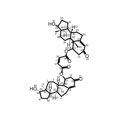 C[C@]12CC[C@H]3[C@@H](CCC4=CC(=O)CC(OC(=O)/C=C\C(=O)OC5CC(=O)C=C6CC[C@H]7[C@@H]8CC[C@H](O)[C@@]8(C)CC[C@@H]7[C@]65C)[C@@]43C)[C@@H]1CC[C@@H]2O